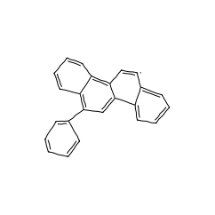 [c]1cc2c3ccccc3c(-c3ccccc3)cc2c2ccccc12